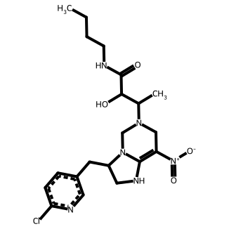 CCCCNC(=O)C(O)C(C)N1CC([N+](=O)[O-])=C2NCC(Cc3ccc(Cl)nc3)N2C1